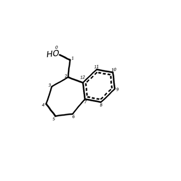 OCC1CCCCc2ccccc21